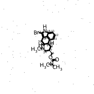 CN(C)C(=O)OC[C@@H]1C[C@@H]2c3cccc4[nH]c(Br)c(c34)C[C@H]2N(C)C1